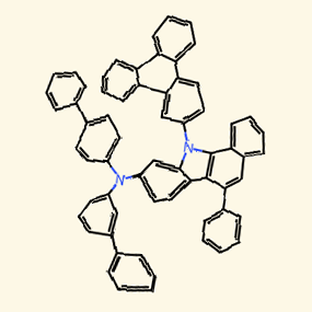 c1ccc(-c2ccc(N(c3cccc(-c4ccccc4)c3)c3ccc4c5c(-c6ccccc6)cc6ccccc6c5n(-c5ccc6c7ccccc7c7ccccc7c6c5)c4c3)cc2)cc1